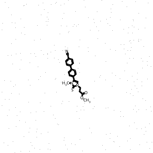 COC(=O)CCn1cc(-c2ccc(-c3ccc(C#N)cc3)cc2)n(C)c1=S